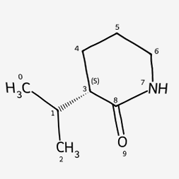 CC(C)[C@@H]1CCCNC1=O